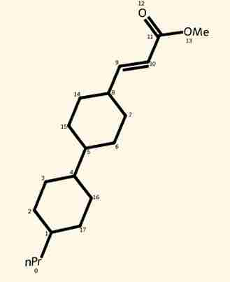 CCCC1CCC(C2CCC(/C=C/C(=O)OC)CC2)CC1